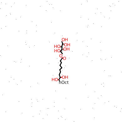 CCCCCCCCC(O)C(O)CCCCCCCC(=O)OC[C@@H](O)[C@@H](O)[C@H](O)[C@@H](O)CO